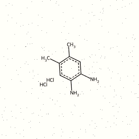 Cc1cc(N)c(N)cc1C.Cl.Cl